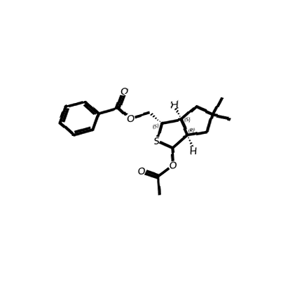 CC(=O)OC1S[C@H](COC(=O)c2ccccc2)[C@H]2CC(C)(C)C[C@@H]12